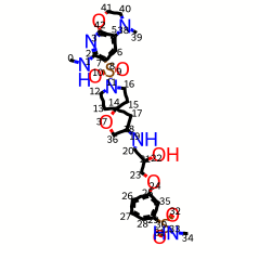 CNc1nc2c(cc1S(=O)(=O)N1CCC3(CC1)CC(NCC(O)COc1cccc(S(=O)(=O)NC)c1)CO3)N(C)CCO2